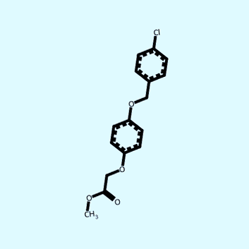 COC(=O)COc1ccc(OCc2ccc(Cl)cc2)cc1